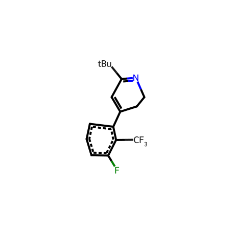 CC(C)(C)C1=NCCC(c2cccc(F)c2C(F)(F)F)=C1